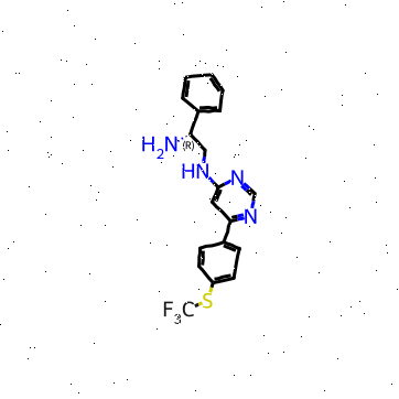 N[C@@H](CNc1cc(-c2ccc(SC(F)(F)F)cc2)ncn1)c1ccccc1